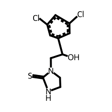 OC(CN1CCNC1=S)c1cc(Cl)cc(Cl)c1